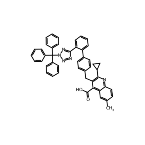 Cc1ccc2nc(C3CC3)c(Cc3ccc(-c4ccccc4-c4nnn(C(c5ccccc5)(c5ccccc5)c5ccccc5)n4)cc3)c(C(=O)O)c2c1